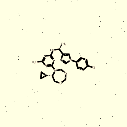 Cc1nc(N[C@@H](C)c2cn(-c3ccc(Cl)cc3)cn2)nc(N2COCOC[C@@H]2C2CC2)n1